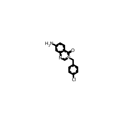 Nc1ccc2c(=O)n(Cc3ccc(Cl)cc3)cnc2c1